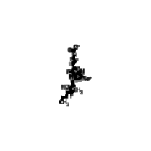 CCCCC(C)(F)[C@H](O)/C=C/[C@H]1CC[C@H]2O[C@H](/C=C/CCC(=O)[O-])C(F)[C@H]12.[Na+]